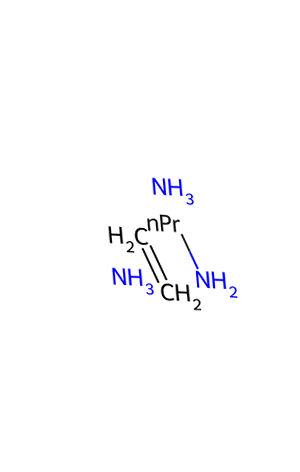 C=C.CCCN.N.N